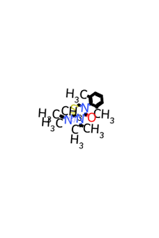 Cc1cccc(C)c1N1CS/C(=N\C(C)(C)C)N(C(C)C)C1=O